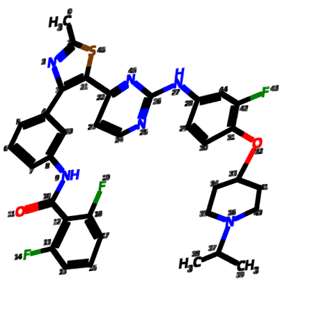 Cc1nc(-c2cccc(NC(=O)c3c(F)cccc3F)c2)c(-c2ccnc(Nc3ccc(OC4CCN(C(C)C)CC4)c(F)c3)n2)s1